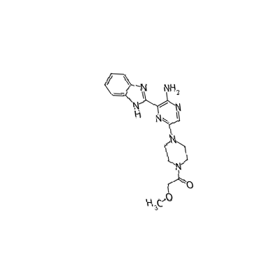 COCC(=O)N1CCN(c2cnc(N)c(-c3nc4ccccc4[nH]3)n2)CC1